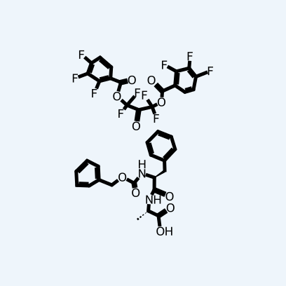 C[C@H](NC(=O)[C@H](Cc1ccccc1)NC(=O)OCc1ccccc1)C(=O)O.O=C(OC(F)(F)C(=O)C(F)(F)OC(=O)c1ccc(F)c(F)c1F)c1ccc(F)c(F)c1F